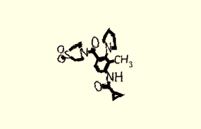 Cc1c(NC(=O)C2CC2)ccc(C(=O)N2CCS(=O)(=O)CC2)c1N1CCCC1